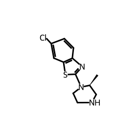 C[C@H]1CNCCN1c1nc2ccc(Cl)cc2s1